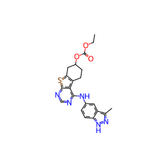 CCOC(=O)OC1CCc2c(sc3ncnc(Nc4ccc5[nH]nc(C)c5c4)c23)C1